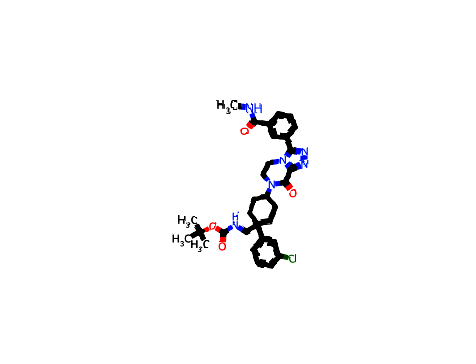 CNC(=O)c1cccc(-c2nnc3n2CCN(C2CCC(CNC(=O)OC(C)(C)C)(c4cccc(Cl)c4)CC2)C3=O)c1